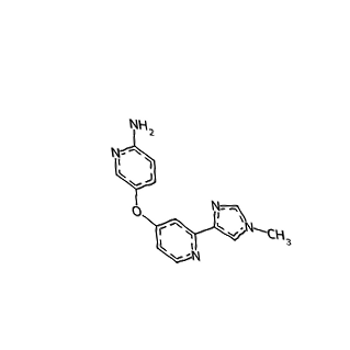 Cn1cnc(-c2cc(Oc3ccc(N)nc3)ccn2)c1